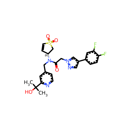 CC(C)(O)c1cc(CN(C(=O)Cn2cc(-c3ccc(F)c(F)c3)cn2)[C@@H]2C=CS(=O)(=O)C2)ccn1